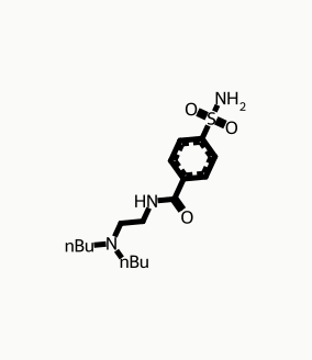 CCCCN(CCCC)CCNC(=O)c1ccc(S(N)(=O)=O)cc1